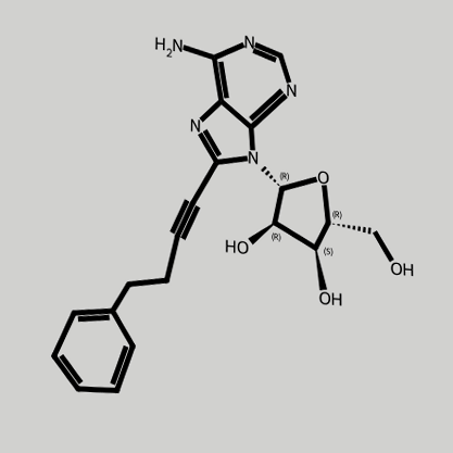 Nc1ncnc2c1nc(C#CCCc1ccccc1)n2[C@@H]1O[C@H](CO)[C@@H](O)[C@H]1O